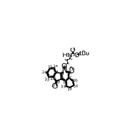 CC(C)(C)OC(=O)NCCCOn1c2c(c3ccccc3c1=O)C(=O)c1ccccc1-2